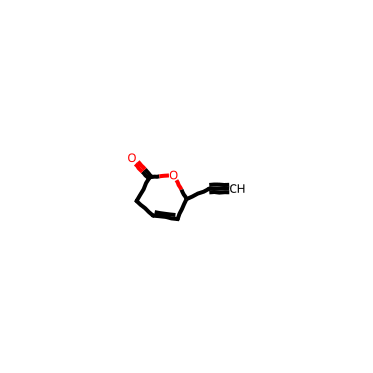 C#CC1C=CCC(=O)O1